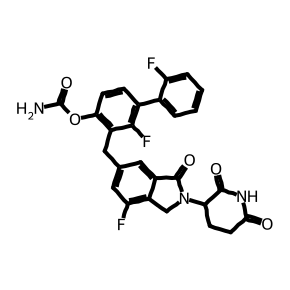 NC(=O)Oc1ccc(-c2ccccc2F)c(F)c1Cc1cc(F)c2c(c1)C(=O)N(C1CCC(=O)NC1=O)C2